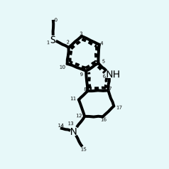 CSc1ccc2[nH]c3c(c2c1)CC(N(C)C)CC3